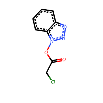 O=C(CCl)On1nnc2ccccc21